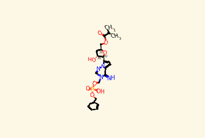 CC(C)C(=O)OC[C@@H]1C[C@@H](O)[C@H](c2ccc3c(=N)n(COP(=O)(O)OCc4ccccc4)cnn23)O1